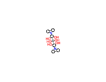 Oc1cc(-n2c3ccccc3c3ccccc32)cc(O)c1[C@H]1C(O)[C@@H](c2c(O)cc(-n3c4ccccc4c4ccccc43)cc2O)[C@H]1O